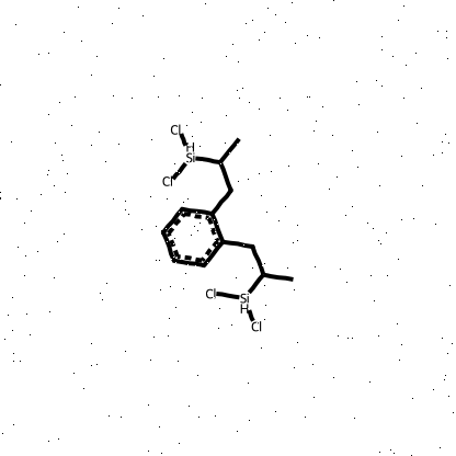 CC(Cc1ccccc1CC(C)[SiH](Cl)Cl)[SiH](Cl)Cl